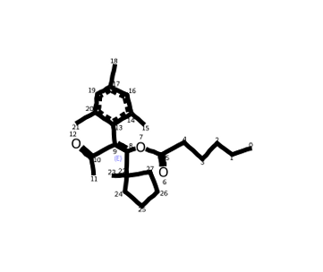 CCCCCC(=O)O/C(=C(/C(C)=O)c1c(C)cc(C)cc1C)C1(C)CCCC1